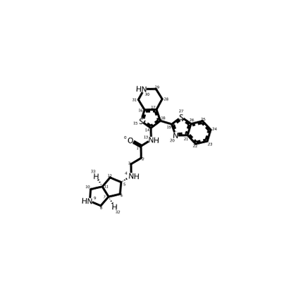 O=C(CCN[C@@H]1C[C@H]2CNC[C@H]2C1)Nc1sc2c(c1-c1nc3ccccc3s1)CCNC2